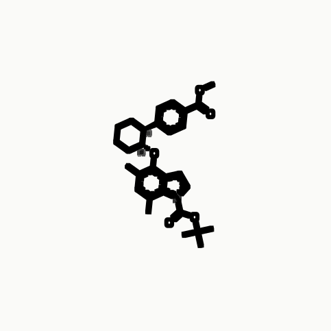 COC(=O)c1ccc([C@@H]2CCCC[C@H]2Oc2c(C)cc(C)c3c2ccn3C(=O)OC(C)(C)C)cc1